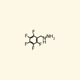 NNCc1c(F)c(F)c(F)c(F)c1F